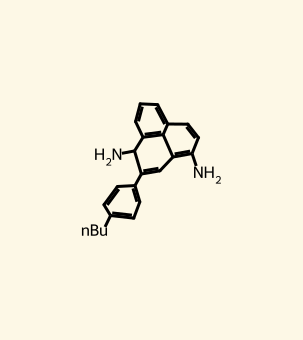 CCCCc1ccc(C2=Cc3c(N)ccc4cccc(c34)C2N)cc1